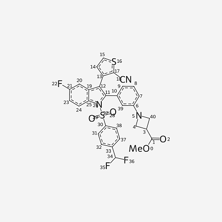 COC(=O)C1CN(c2cccc(-c3c(-c4ccsc4C#N)c4cc(F)ccc4n3S(=O)(=O)c3ccc(C(F)F)cc3)c2)C1